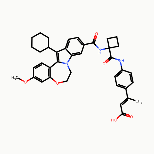 COc1ccc2c(c1)OCCn1c-2c(C2CCCCC2)c2ccc(C(=O)NC3(C(=O)Nc4ccc(C(C)=CC(=O)O)cc4)CCC3)cc21